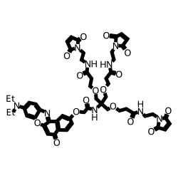 CCN(CC)c1ccc2nc3c4cc(OCC(=O)NC(COCCC(=O)NCCN5C(=O)C=CC5=O)(COCCC(=O)NCCN5C(=O)C=CC5=O)COCCC(=O)NCCN5C(=O)C=CC5=O)ccc4c(=O)cc-3oc2c1